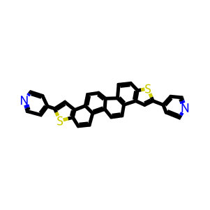 c1cc(-c2cc3c(ccc4c3ccc3c5ccc6sc(-c7ccncc7)cc6c5ccc43)s2)ccn1